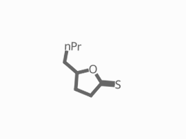 CCCCC1CCC(=S)O1